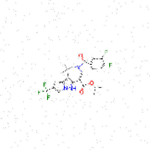 CC(C)OC(=O)C1=CN(C(=O)c2ccc(F)c(F)c2)CC(C)(C)c2c1[nH]n1cc(C(F)(F)F)cc21